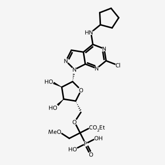 CCOC(=O)C(COC)(OC[C@H]1O[C@@H](n2ncc3c(NC4CCCC4)nc(Cl)nc32)[C@H](O)[C@@H]1O)P(=O)(O)O